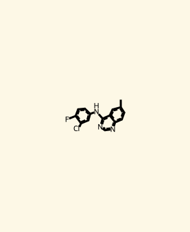 Cc1ccc2ncnc(Nc3ccc(F)c(Cl)c3)c2c1